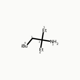 CCC(C)CC(N)(CC)CC